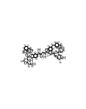 CCC[C@H](NC(=O)[C@H](C)NC)C(=O)N1Cc2ccc(NC(=O)CNC(=O)[C@]3(C)CN(C(=O)CN4C[C@@H](C)NC[C@@H]4CN4CCOC[C@H]4C)c4cc(Cc5ccc(F)cc5)ccc43)cc2[C@H]1C(=O)Nc1c(F)cccc1F